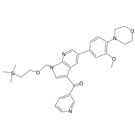 COc1cc(-c2cnc3c(c2)c(C(=O)c2cccnc2)cn3COCC[Si](C)(C)C)ccc1N1CCOCC1